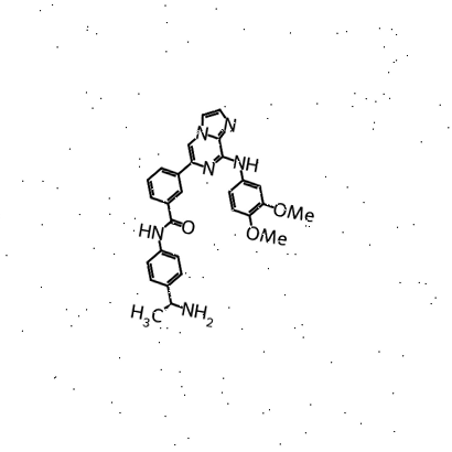 COc1ccc(Nc2nc(-c3cccc(C(=O)Nc4ccc([C@H](C)N)cc4)c3)cn3ccnc23)cc1OC